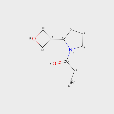 CC(C)CC(=O)N1CCCC1C1COC1